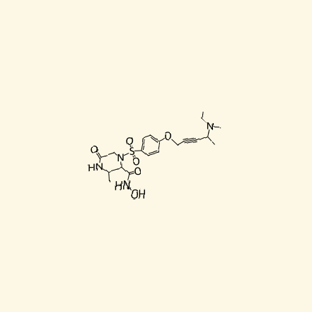 CCN(C)C(C)C#CCOc1ccc(S(=O)(=O)N2CC(=O)NC(C)C2C(=O)NO)cc1